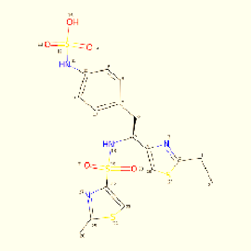 CCc1nc([C@H](Cc2ccc(NS(=O)(=O)O)cc2)NS(=O)(=O)c2csc(C)n2)cs1